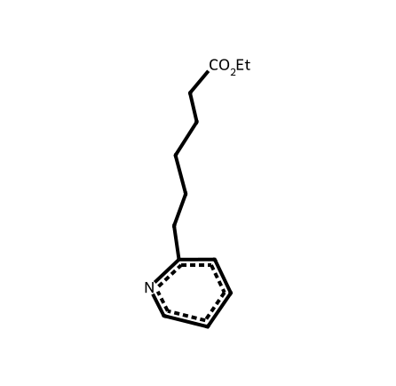 CCOC(=O)CCCCCc1ccccn1